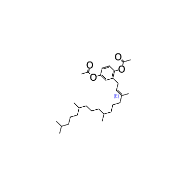 CC(=O)Oc1ccc(OC(C)=O)c(C/C=C(\C)CCCC(C)CCCC(C)CCCC(C)C)c1